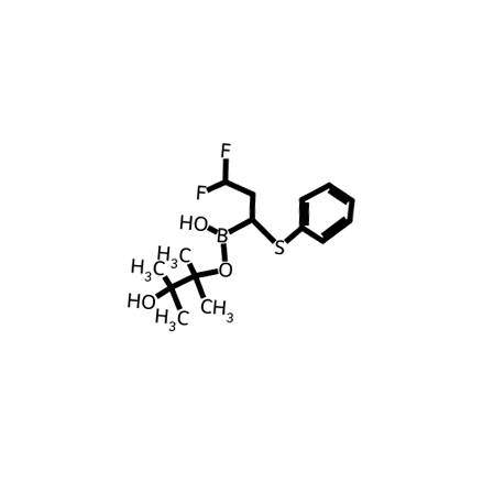 CC(C)(O)C(C)(C)OB(O)C(CC(F)F)Sc1ccccc1